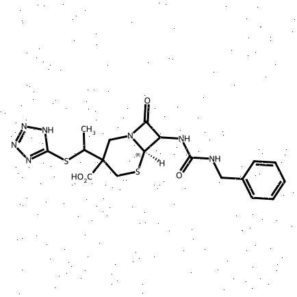 CC(Sc1nnn[nH]1)C1(C(=O)O)CS[C@@H]2C(NC(=O)NCc3ccccc3)C(=O)N2C1